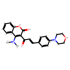 CCN(CC)c1c(C(=O)C=Cc2ccc(N3CCOCC3)cc2)c(=O)oc2ccccc12